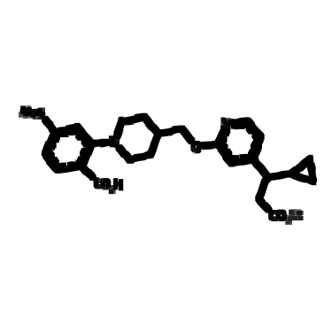 CCOC(=O)CC(c1ccnc(OCC2CCN(c3cc(SC)ccc3C(=O)O)CC2)c1)C1CC1